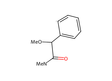 CNC(=O)C(OC)c1[c]cccc1